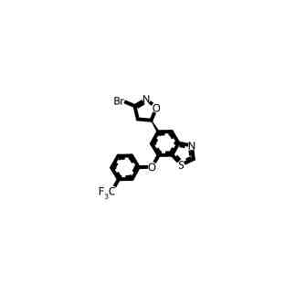 FC(F)(F)c1cccc(Oc2cc([C@H]3CC(Br)=NO3)cc3ncsc23)c1